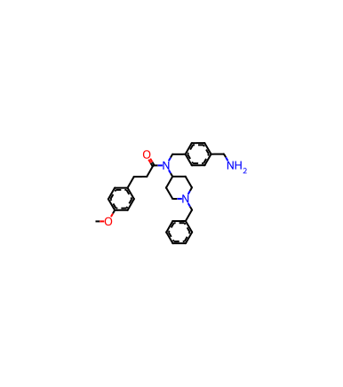 COc1ccc(CCC(=O)N(Cc2ccc(CN)cc2)C2CCN(Cc3ccccc3)CC2)cc1